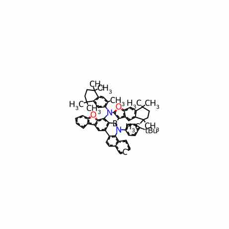 Cc1cc2c(cc1N1c3oc4cc5c(cc4c3B3c4c(cc6c(oc7ccccc76)c41)-c1ccc4ccccc4c1N3c1ccc(C(C)(C)C)cc1)C(C)(C)CCC5(C)C)C(C)(C)CCC2(C)C